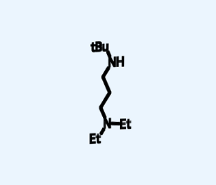 CCN(CC)CCCNC(C)(C)C